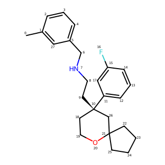 Cc1cccc(CNCC[C@]2(c3cccc(F)c3)CCOC3(CCCC3)C2)c1